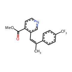 COC(=O)c1ccncc1C=C(C)c1ccc(C(F)(F)F)cc1